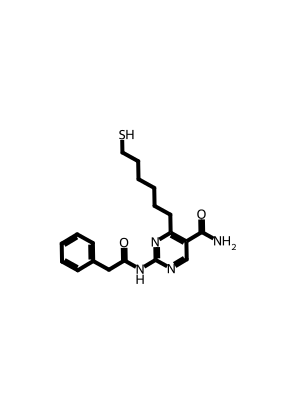 NC(=O)c1cnc(NC(=O)Cc2ccccc2)nc1CCCCCCS